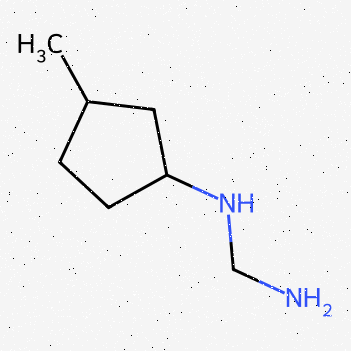 CC1CCC(NCN)C1